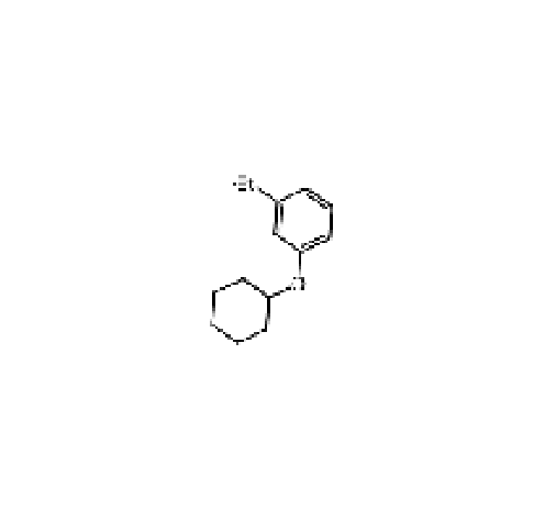 C[CH]c1cccc(OC2CCCCC2)c1